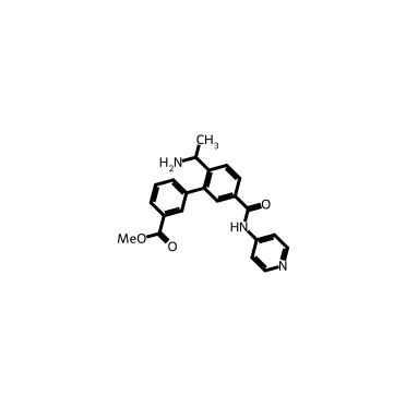 COC(=O)c1cccc(-c2cc(C(=O)Nc3ccncc3)ccc2C(C)N)c1